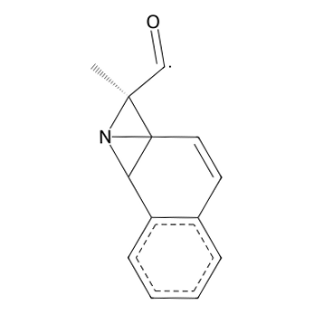 C[C@@]1([C]=O)N2C3c4ccccc4C=CC321